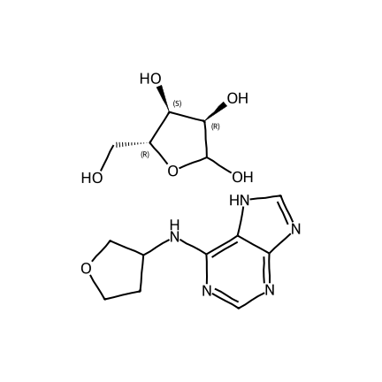 OC[C@H]1OC(O)[C@H](O)[C@@H]1O.c1nc(NC2CCOC2)c2[nH]cnc2n1